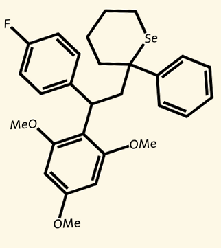 COc1cc(OC)c(C(CC2(c3ccccc3)CCCC[Se]2)c2ccc(F)cc2)c(OC)c1